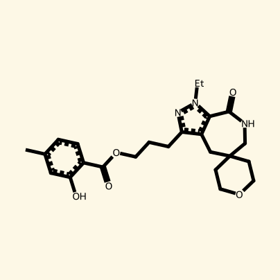 CCn1nc(CCCOC(=O)c2ccc(C)cc2O)c2c1C(=O)NCC1(CCOCC1)C2